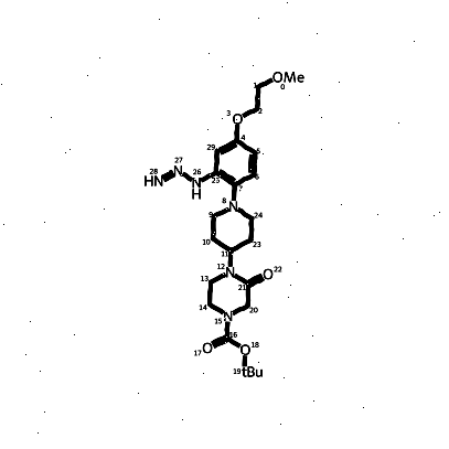 COCCOc1ccc(N2CCC(N3CCN(C(=O)OC(C)(C)C)CC3=O)CC2)c(NN=N)c1